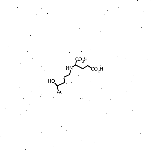 CC(=O)C(O)CCCNC(CCC(=O)O)C(=O)O